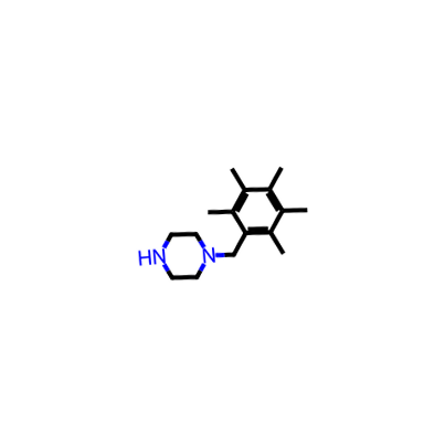 Cc1c(C)c(C)c(CN2CCNCC2)c(C)c1C